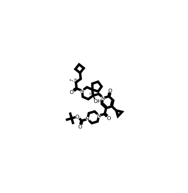 C[C@H](CC1CCC1)C(=O)N1CC[C@@](O)(Cn2cc(C(=O)N3CCN(C(=O)OC(C)(C)C)CC3)c(C3CC3)cc2=O)C2(CCCC2)C1